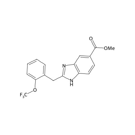 COC(=O)c1ccc2[nH]c(Cc3ccccc3OC(F)(F)F)nc2c1